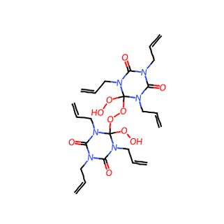 C=CCN1C(=O)N(CC=C)C(OO)(OOC2(OO)N(CC=C)C(=O)N(CC=C)C(=O)N2CC=C)N(CC=C)C1=O